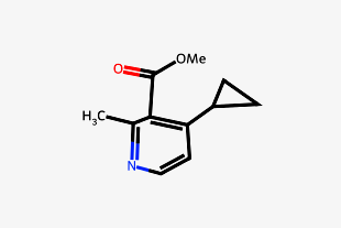 COC(=O)c1c(C2CC2)ccnc1C